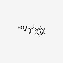 C=C(CC12CCC(CC1)CC2)C(=O)O